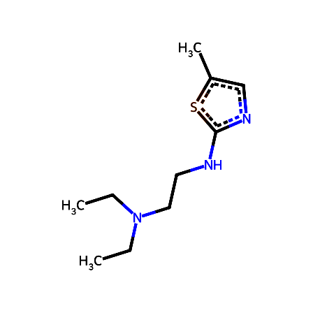 CCN(CC)CCNc1ncc(C)s1